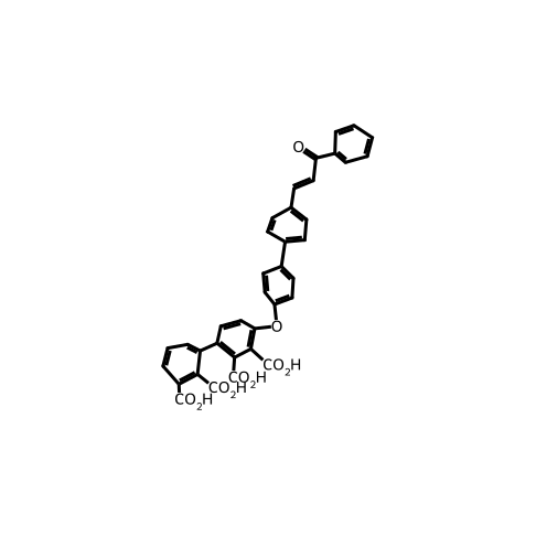 O=C(C=Cc1ccc(-c2ccc(Oc3ccc(-c4cccc(C(=O)O)c4C(=O)O)c(C(=O)O)c3C(=O)O)cc2)cc1)c1ccccc1